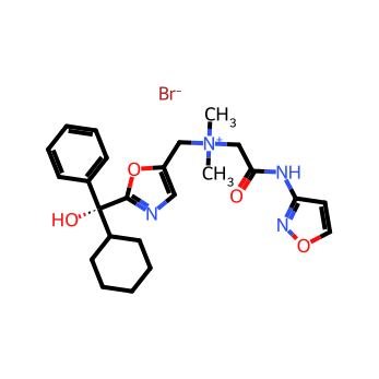 C[N+](C)(CC(=O)Nc1ccon1)Cc1cnc([C@](O)(c2ccccc2)C2CCCCC2)o1.[Br-]